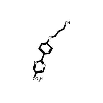 N#CCCCOc1ccc(-c2ncc(C(=O)O)cn2)cc1